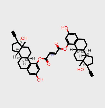 C#C[C@]1(O)CC[C@H]2[C@@H]3CCc4cc(O)cc(OC(=O)/C=C/C(=O)Oc5cc(O)cc6c5[C@H]5CCC7(C)[C@@H](CC[C@@]7(O)C#C)[C@@H]5CC6)c4[C@H]3CCC21C